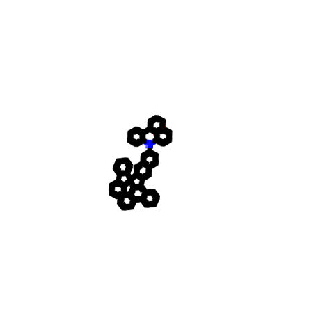 c1ccc(-c2ccccc2N(c2ccccc2)c2ccc3cc4c(cc3c2)C2(c3ccccc3-c3ccccc32)c2c-4c3ccccc3c3ccccc23)cc1